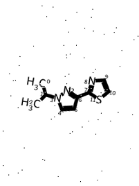 CC(C)n1ccc(-c2nccs2)n1